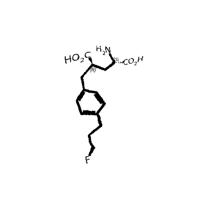 N[C@@H](C[C@@H](Cc1ccc(CCCF)cc1)C(=O)O)C(=O)O